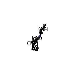 COCCNC(=O)c1ccc(/C=C/C(=O)NCC(=O)N(C)c2ccc(Cl)c(COc3cccc4ccc(C)nc34)c2Cl)cc1